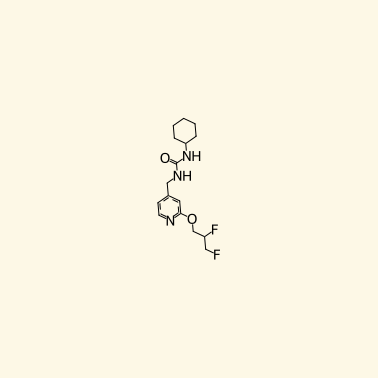 O=C(NCc1ccnc(OCC(F)CF)c1)NC1CCCCC1